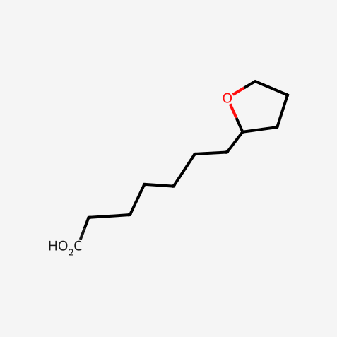 O=C(O)CCCCCCC1CCCO1